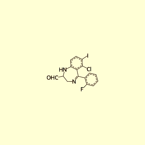 O=CC1CN=C(c2ccccc2F)c2c(ccc(I)c2Cl)N1